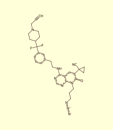 C#CCN1CCC(C(F)(F)c2cccc(CCNc3ncnc4c3cc(C3(C#N)CC3)c(=O)n4CCCN=[N+]=[N-])c2)CC1